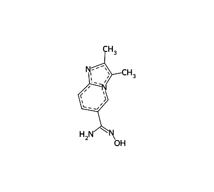 Cc1nc2ccc(C(N)=NO)cn2c1C